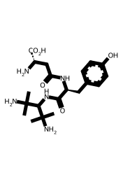 CC(C)(N)C(NC(=O)[C@H](Cc1ccc(O)cc1)NC(=O)C[C@H](N)C(=O)O)C(C)(C)N